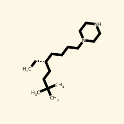 CC[C@H](CCCCN1CCNCC1)CCC(C)(C)C